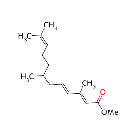 COC(=O)/C=C(C)/C=C/CC(C)CCC=C(C)C